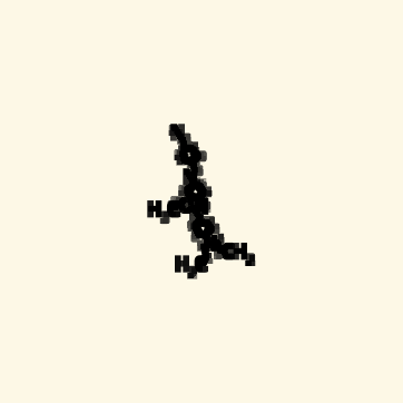 C=CCN(CC=C)c1ccc(/N=N/c2ccc(/N=C/c3ccc(C#N)cc3)cc2OCC)cc1